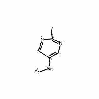 CCNc1cnc(C)nc1